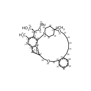 Cc1nc2cc3nn2c(c1[C@H](OC(C)(C)C)C(=O)O)N1CCC(C)(CC1)OCCCCCc1ccccc1COC3